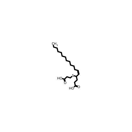 CCCCCCCCCCCC/C=C\C(CCC(=O)O)SCCC(=O)O